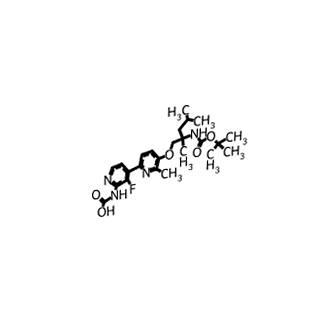 Cc1nc(-c2ccnc(NC(=O)O)c2F)ccc1OCC(C)(CC(C)C)NC(=O)OC(C)(C)C